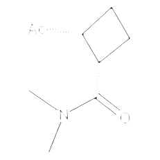 CC(=O)[C@@H]1CC[C@@H]1C(=O)N(C)C